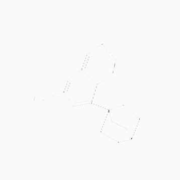 Oc1cc(C23CCC(CC2)CC3)c2ccccc2c1